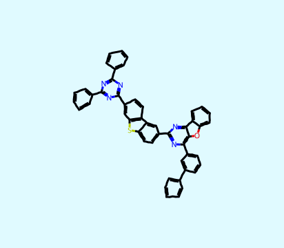 c1ccc(-c2cccc(-c3nc(-c4ccc5sc6cc(-c7nc(-c8ccccc8)nc(-c8ccccc8)n7)ccc6c5c4)nc4c3oc3ccccc34)c2)cc1